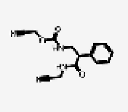 N#CCNC(=O)C(CNC(=O)OCC#N)c1ccccc1